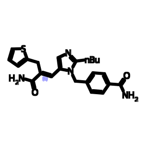 CCCCc1ncc(/C=C(\Cc2cccs2)C(N)=O)n1Cc1ccc(C(N)=O)cc1